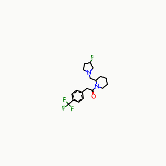 O=C(Cc1ccc(C(F)(F)F)cc1)N1CCCCC1CN1CCC(F)C1